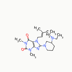 CCN(CC)C1CCCN(c2nc3c(c(=O)n(C)c(=O)n3C)n2CC=C(C)C)C1